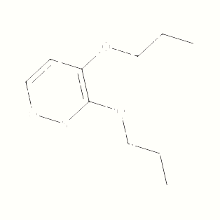 CCCOC1=C(OCCC)SOC=C1